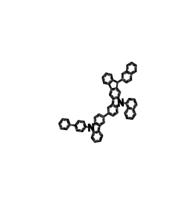 c1ccc(-c2ccc(-n3c4ccccc4c4cc(-c5ccc6c(c5)c5cc7c(cc5n6-c5cccc6ccccc56)C(c5ccc6ccccc6c5)c5ccccc5-7)ccc43)cc2)cc1